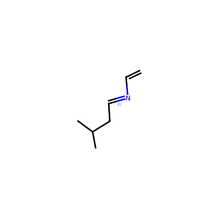 C=C/N=C/CC(C)C